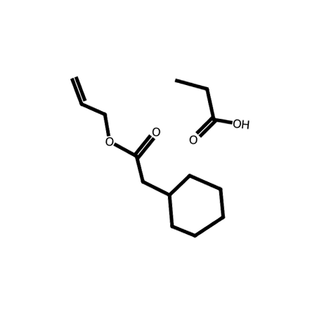 C=CCOC(=O)CC1CCCCC1.CCC(=O)O